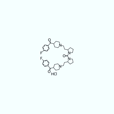 Cl.O=C(c1ccc(F)cc1)C1CCN(CCC2CCCN2C(=O)N2CCCC2CCN2CCC(C(=O)c3ccc(F)cc3)CC2)CC1